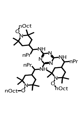 CCCCCCCCON1C(C)(C)CC(C(CCC)Nc2nc(NC(CCC)C3CC(C)(C)N(OCCCCCCCC)C(C)(C)C3)nc(NC(CCC)C3CC(C)(C)N(OCCCCCCCC)C(C)(C)C3)n2)CC1(C)C